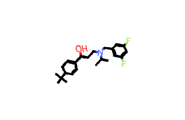 CC(C)N(CCC(O)C1=CCC(C(C)(C)C)C=C1)Cc1cc(F)cc(F)c1